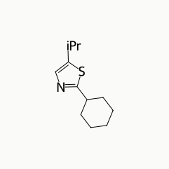 CC(C)c1cnc(C2CCCCC2)s1